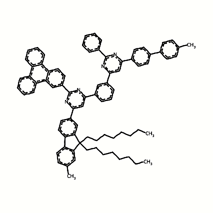 CCCCCCCCC1(CCCCCCCC)c2cc(C)ccc2-c2ccc(-c3cc(-c4cccc(-c5cc(-c6ccc(-c7ccc(C)cc7)cc6)nc(-c6ccccc6)n5)c4)nc(-c4ccc5c6ccccc6c6ccccc6c5c4)n3)cc21